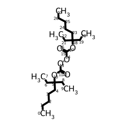 CCCCCC(CC)(CC)OC(=O)OOC(=O)OC(CC)(CC)CCCCC